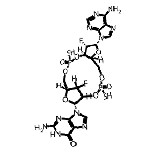 Nc1nc2c(ncn2[C@@H]2O[C@@H]3COP(=O)(S)O[C@H]4[C@H](F)[C@H](n5cnc6c(N)ncnc65)O[C@@H]4COP(=O)(S)O[C@H]2[C@H]3F)c(=O)[nH]1